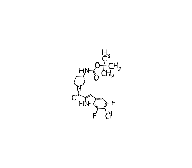 CC(C)(C)OC(=O)N[C@@H]1CCN(C(=O)c2cc3cc(F)c(Cl)c(F)c3[nH]2)C1